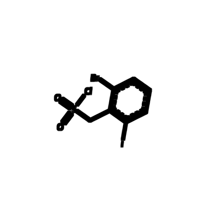 O=S(=O)(Cl)Cc1c(Br)cccc1I